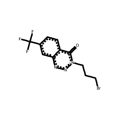 O=c1c2ccc(C(F)(F)F)cc2nnn1CCCBr